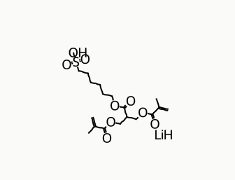 C=C(C)C(=O)OCC(COC(=O)C(=C)C)C(=O)OCCCCCCS(=O)(=O)O.[LiH]